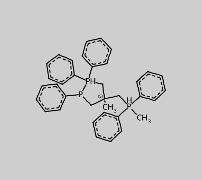 C[C@]1(C[PH](C)(c2ccccc2)c2ccccc2)CP(c2ccccc2)[PH](c2ccccc2)(c2ccccc2)C1